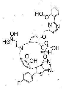 O=C(O)[C@H]1Cc2cc(ccc2OCc2ccnc(-c3ccccc3OO)n2)CN(CCN(O)O)Cc2ccc(c(O)c2Cl)-c2c(-c3ccc(F)cc3)sc3ncnc(c23)O1